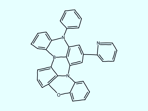 c1ccc(N2c3ccccc3B3c4cccc5c4N(c4ccccc4O5)c4cc(-c5ccccn5)cc2c43)cc1